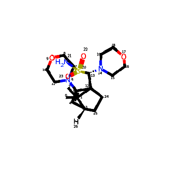 CC1(C)[C@H]2C=C(N3CCOCC3)C1([C@@H](N1CCOCC1)S(N)(=O)=O)CC2